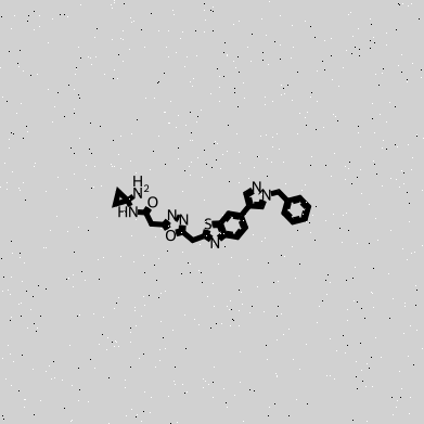 NC1(NC(=O)Cc2nnc(Cc3nc4ccc(-c5cnn(Cc6ccccc6)c5)cc4s3)o2)CC1